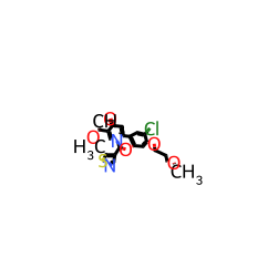 COCCCOc1cc2c(cc1Cl)-c1cc(=O)c(C(C)=O)cn1C(c1cnsc1C)O2